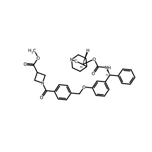 COC(=O)C1CN(C(=O)c2ccc(COc3cccc([C@@H](NC(=O)O[C@H]4CN5CCC4CC5)c4ccccc4)c3)cc2)C1